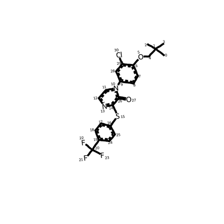 CC(C)(C)COc1ccc(-n2ccnc(Sc3ccc(C(F)(F)F)cc3)c2=O)cc1Cl